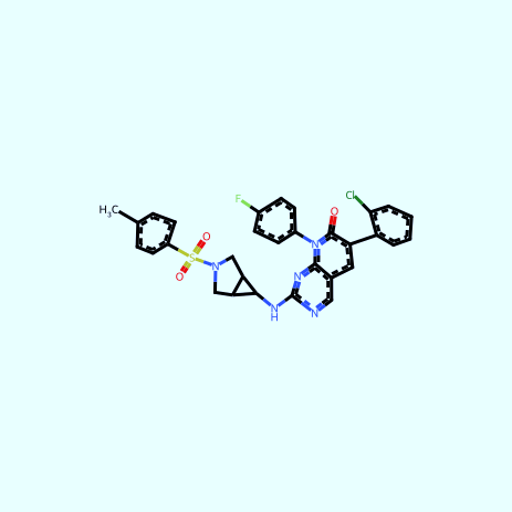 Cc1ccc(S(=O)(=O)N2CC3C(C2)C3Nc2ncc3cc(-c4ccccc4Cl)c(=O)n(-c4ccc(F)cc4)c3n2)cc1